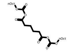 CCCCCCCCOC(=O)OC(=O)CCCCC(=O)OC(=O)OCCCCCCCC